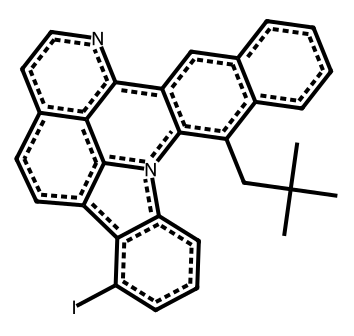 CC(C)(C)Cc1c2ccccc2cc2c3nccc4ccc5c6c(I)cccc6n(c12)c5c43